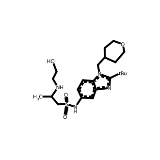 CC(CS(=O)(=O)Nc1ccc2c(c1)nc(C(C)(C)C)n2CC1CCOCC1)NCCO